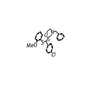 COc1ccccc1SC(c1ccc(Cl)cc1)[C@@H]1CN(Cc2ccccc2)CCO1